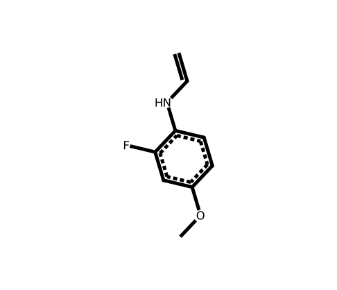 C=CNc1ccc(OC)cc1F